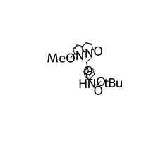 COc1ccc2ccc(=O)n(CCC34CCC(NC(=O)OC(C)(C)C)(CC3)CO4)c2n1